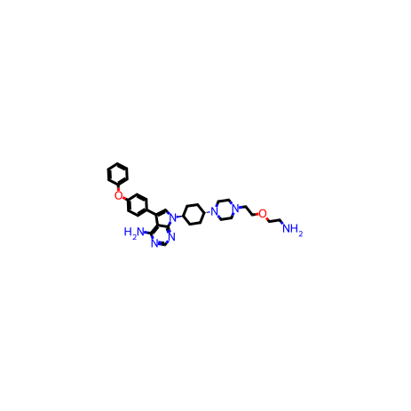 NCCOCCN1CCN([C@H]2CC[C@H](n3cc(-c4ccc(Oc5ccccc5)cc4)c4c(N)ncnc43)CC2)CC1